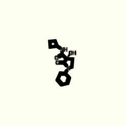 O=C(NC1CCC1)[C@@]1(O)CCN(c2ccccc2)C1=O